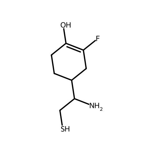 NC(CS)C1CCC(O)=C(F)C1